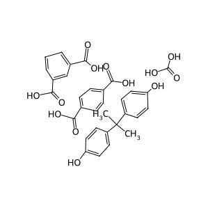 CC(C)(c1ccc(O)cc1)c1ccc(O)cc1.O=C(O)O.O=C(O)c1ccc(C(=O)O)cc1.O=C(O)c1cccc(C(=O)O)c1